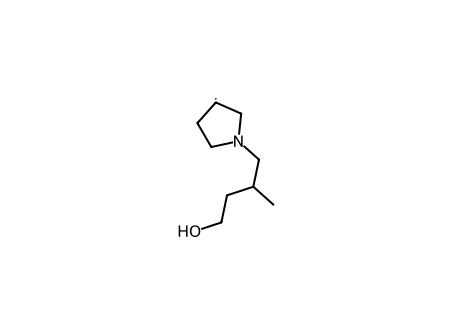 CC(CCO)CN1C[CH]CC1